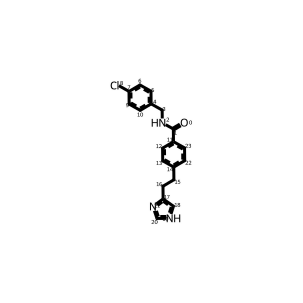 O=C(NCc1ccc(Cl)cc1)c1ccc(CCc2c[nH]cn2)cc1